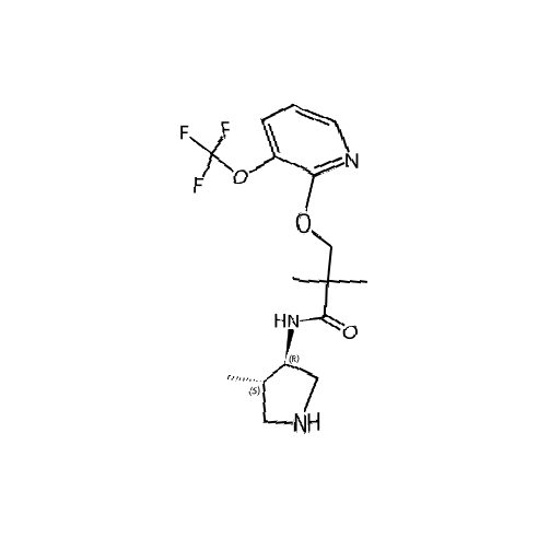 C[C@H]1CNC[C@@H]1NC(=O)C(C)(C)COc1ncccc1OC(F)(F)F